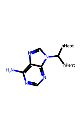 CCCCCCCC(CCCCC)n1cnc2c(N)ncnc21